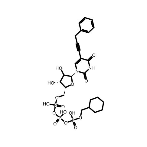 O=c1[nH]c(=O)n([C@@H]2O[C@H](COP(=O)(O)OP(=O)(O)OP(=O)(O)OCC3CCCCC3)[C@H](O)C2O)cc1C#CCc1ccccc1